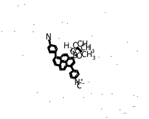 [C-]#[N+]c1ccc(-c2cc(B3OC(C)(C)C(C)(C)O3)c3ccc4c(-c5ccc(C#N)cc5)ccc5ccc2c3c54)cc1